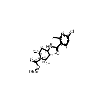 Cc1nc(Cl)ccc1C(=O)NC1C[C@H](C)N(C(=O)OC(C)(C)C)[C@@H](C)C1